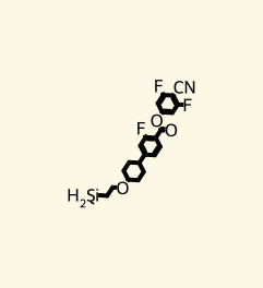 C[SiH2]CCOC1CCC(c2ccc(C(=O)Oc3cc(F)c(C#N)c(F)c3)c(F)c2)CC1